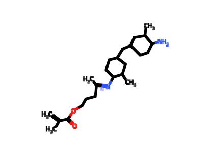 C=C(C)C(=O)OCCC/C(C)=N/C1CCC(CC2CCC(N)C(C)C2)CC1C